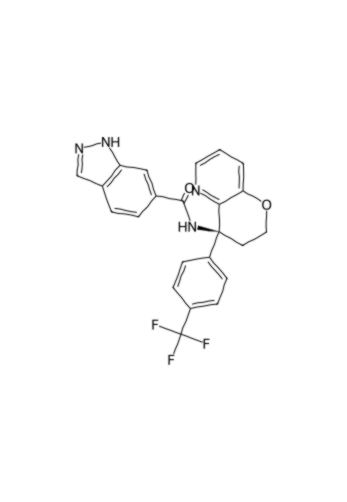 O=C(N[C@]1(c2ccc(C(F)(F)F)cc2)CCOc2cccnc21)c1ccc2cn[nH]c2c1